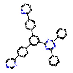 c1ccc(-c2nc(-c3ccccc3)nc(-c3cc(-c4ccc(-c5ccccn5)cc4)cc(-c4ccc(-c5ccncn5)cc4)c3)n2)cc1